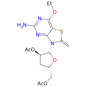 C=C1Sc2c(OCC)nc(N)nc2N1[C@@H]1O[C@H](COC(C)=O)C[C@H]1OC(C)=O